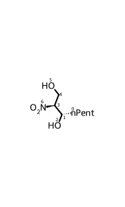 CCCCC[C@H](O)[C@H](CO)[N+](=O)[O-]